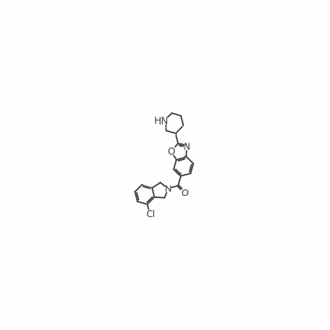 O=C(c1ccc2nc(C3CCCNC3)oc2c1)N1Cc2cccc(Cl)c2C1